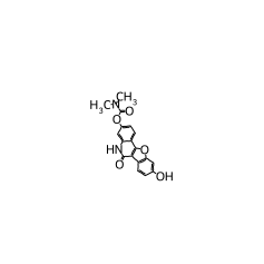 CN(C)C(=O)Oc1ccc2c(c1)[nH]c(=O)c1c3ccc(O)cc3oc21